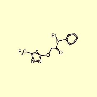 CCN(C(=O)COc1nnc(C(F)(F)F)s1)c1ccccc1